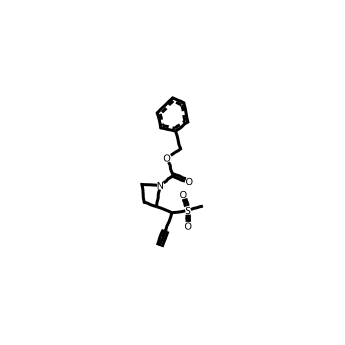 C#CC(C1CCN1C(=O)OCc1ccccc1)S(C)(=O)=O